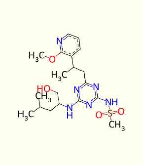 COc1ncccc1C(C)Cc1nc(NC(CO)CC(C)C)nc(NS(C)(=O)=O)n1